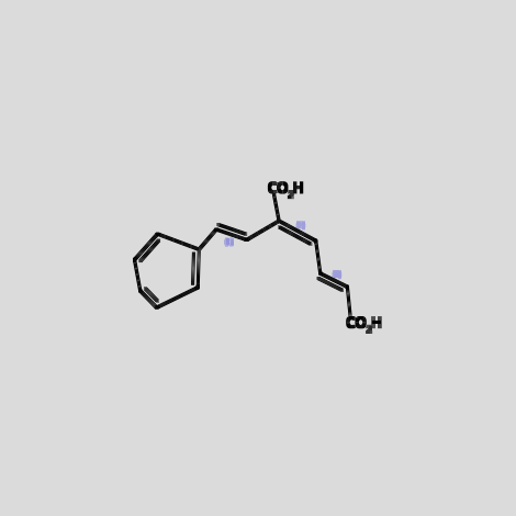 O=C(O)/C=C/C=C(\C=C\c1ccccc1)C(=O)O